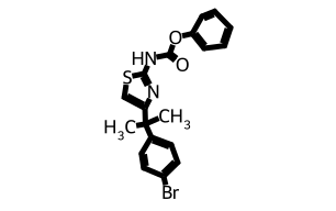 CC(C)(c1ccc(Br)cc1)c1csc(NC(=O)Oc2ccccc2)n1